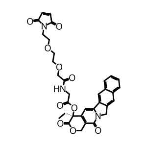 CC[C@@]1(OC(=O)CNC(=O)COCCOCCN2C(=O)C=CC2=O)C(=O)OCc2c1cc1n(c2=O)Cc2cc3ccccc3cc2-1